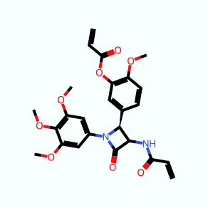 C=CC(=O)NC1C(=O)N(c2cc(OC)c(OC)c(OC)c2)[C@H]1c1ccc(OC)c(OC(=O)C=C)c1